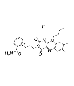 CCCCn1c2nc(=O)n(CCC[n+]3ccccc3C(N)=O)c(=O)c-2nc2cc(C)c(C)cc21.[I-]